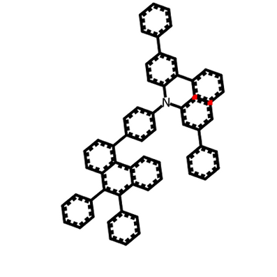 c1ccc(-c2cccc(N(c3ccc(-c4cccc5c(-c6ccccc6)c(-c6ccccc6)c6ccccc6c45)cc3)c3ccc(-c4ccccc4)cc3-c3ccccc3)c2)cc1